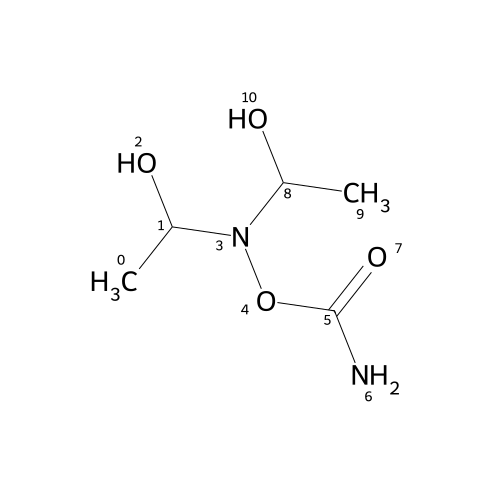 CC(O)N(OC(N)=O)C(C)O